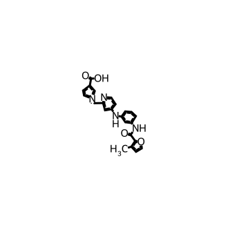 Cc1ccoc1C(=O)Nc1cccc(Nc2ccnc([CH]n3ccc(C(=O)O)c3)c2)c1